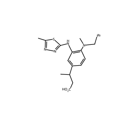 Cc1nnc(Nc2cc(C(C)CC(=O)O)ccc2N(C)CC(C)C)s1